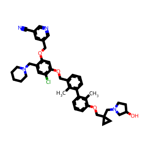 Cc1c(COc2cc(OCc3cncc(C#N)c3)c(CN3CCCCC3)cc2Cl)cccc1-c1cccc(OCC2(CN3CCC(O)C3)CC2)c1C